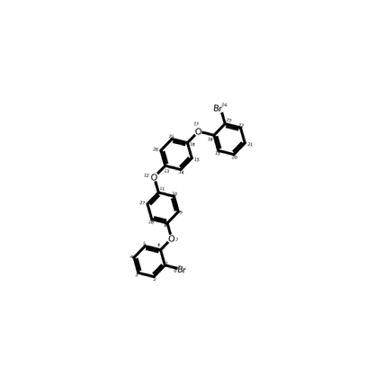 Brc1ccccc1Oc1ccc(Oc2ccc(Oc3ccccc3Br)cc2)cc1